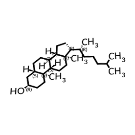 CC(C)CCC[C@@H](C)[C@H]1CC[C@H]2[C@@H]3CC[C@H]4C[C@H](O)CC[C@]4(C)[C@H]3CC[C@]12C